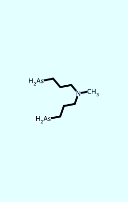 CN(CCC[AsH2])CCC[AsH2]